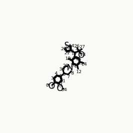 COc1ccc(C2CCN(c3c(C)c(C)c4c(c3C)C(c3ccsc3)C(C)(C)O4)CC2)cc1OC